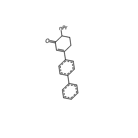 CCCC1CCC(c2ccc(-c3ccccc3)cc2)=CC1=O